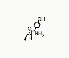 C#CCNC(=O)C(N)c1ccc(O)cc1